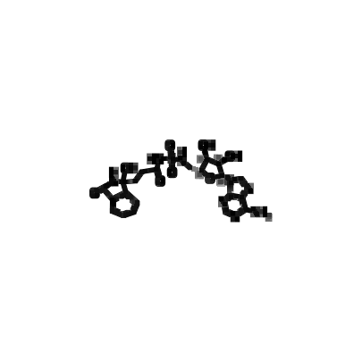 Nc1ncnc2c1ncn2[C@@H]1O[C@H](CNS(=O)(=O)NC(=O)CCC2(O)NC(=O)c3ccccc32)[C@@H](O)[C@H]1O